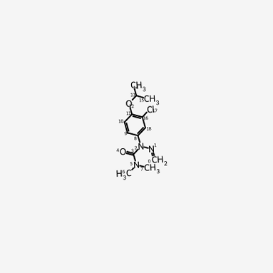 C=NN(C(=O)N(C)C)c1ccc(OC(C)C)c(Cl)c1